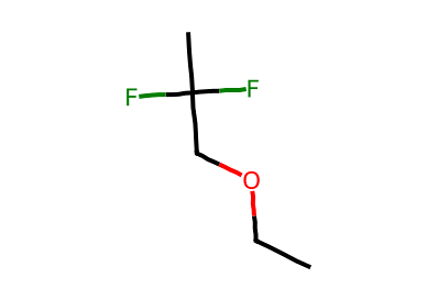 CCOCC(C)(F)F